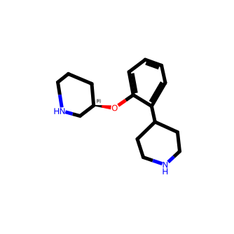 c1ccc(C2CCNCC2)c(O[C@@H]2CCCNC2)c1